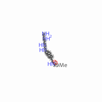 COC(=O)C(C)NC(=O)CCCC1CCC2C3CCC4CC(NCCCNCCCCNCCCN)CCC4(C)C3CCC12C